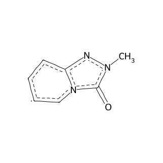 Cn1nc2cc[c]cn2c1=O